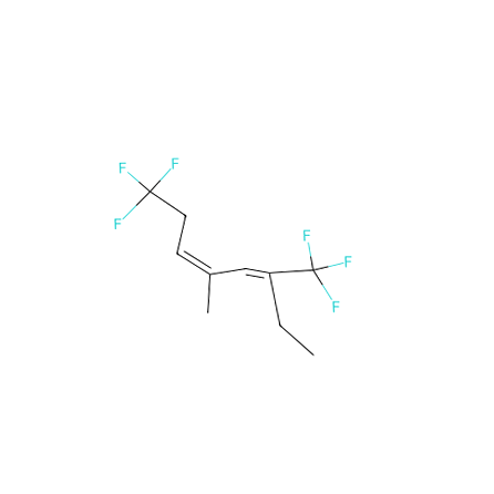 CC/C(=C\C(C)=C/CC(F)(F)F)C(F)(F)F